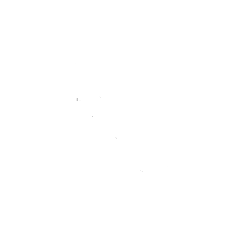 O=C(NCC(O)CN1CCc2ccccc2C1)c1ccnc(NC2CCOCC2)n1